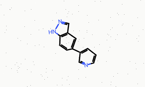 c1cncc(-c2ccc3[nH]ncc3c2)c1